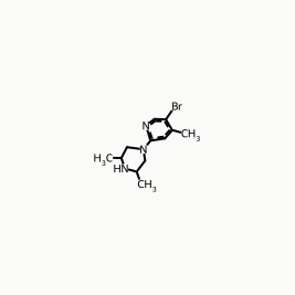 Cc1cc(N2CC(C)NC(C)C2)ncc1Br